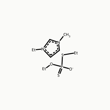 CCOP([O-])(=S)SCC.CC[n+]1ccn(C)c1